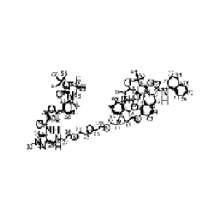 C[C@@H](C(=O)N[C@H](C(=O)N1Cc2cc(OCCOCCOCCOCCOCCNCc3nn(C)cc3NC(=O)c3coc(-c4ccnc(N(CC(F)(F)F)C(=O)OC(C)(C)C)c4)n3)ccc2C[C@H]1C(=O)N[C@@H]1CCCc2ccccc21)C(C)(C)C)N(C)C(=O)OCc1ccccc1